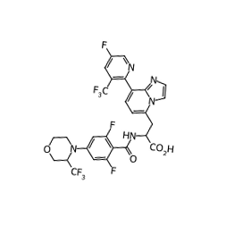 O=C(NC(Cc1ccc(-c2ncc(F)cc2C(F)(F)F)c2nccn12)C(=O)O)c1c(F)cc(N2CCOCC2C(F)(F)F)cc1F